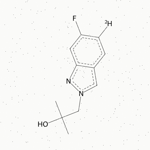 [2H]c1cc2cn(CC(C)(C)O)nc2cc1F